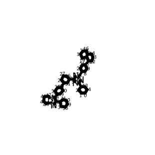 c1ccc(-c2nc(-c3ccc(-c4cccc5ccccc45)cc3)nc(-c3cccc(-c4ccc(-c5c(-c6ccccc6)nc6ccccn56)cc4)c3)n2)cc1